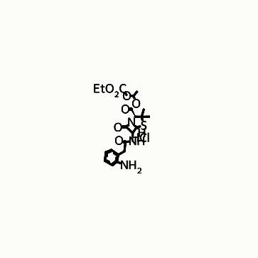 CCOC(=O)OC(C)OC(=O)[C@@H]1N2C(=O)C(NC(=O)Cc3ccccc3N)[C@H]2SC1(C)C.Cl